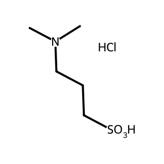 CN(C)CCCS(=O)(=O)O.Cl